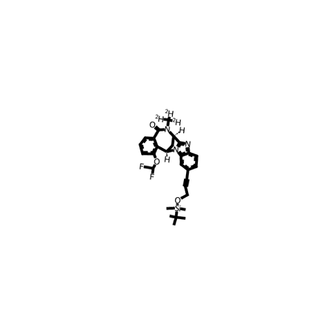 [2H]C([2H])([2H])N1C(=O)c2cccc(OC(F)F)c2[C@H]2C[C@@H]1c1nc3ccc(C#CCO[Si](C)(C)C(C)(C)C)cc3n12